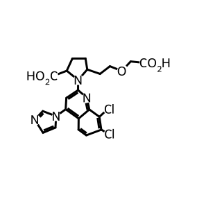 O=C(O)COCCC1CCC(C(=O)O)N1c1cc(-n2ccnc2)c2ccc(Cl)c(Cl)c2n1